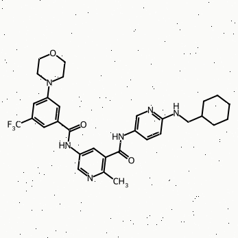 Cc1ncc(NC(=O)c2cc(N3CCOCC3)cc(C(F)(F)F)c2)cc1C(=O)Nc1ccc(NCC2CCCCC2)nc1